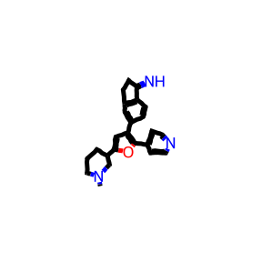 CN1CCCC(c2cc(-c3ccc4c(c3)CCC4=N)c(-c3ccncc3)o2)C1